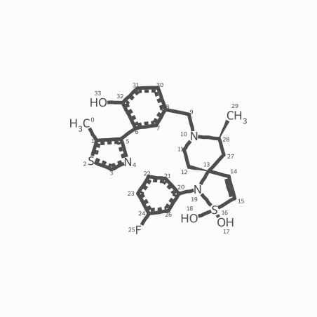 Cc1scnc1-c1cc(CN2CC[C@]3(C=CS(O)(O)N3c3cccc(F)c3)C[C@@H]2C)ccc1O